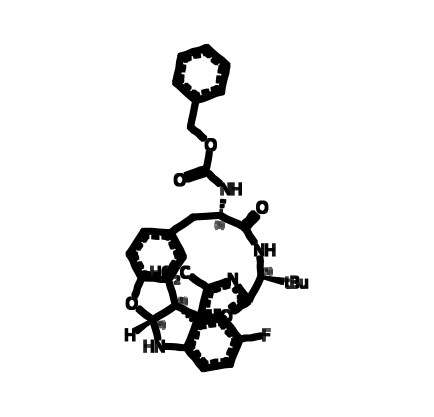 CC(C)(C)[C@@H]1NC(=O)[C@@H](NC(=O)OCc2ccccc2)Cc2ccc3c(c2)[C@@]2(c4cc(F)ccc4N[C@@H]2O3)c2oc1nc2C(=O)O